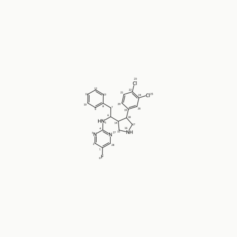 Fc1cnc(NC(Cc2ccccc2)C2CNCC2c2ccc(Cl)c(Cl)c2)nc1